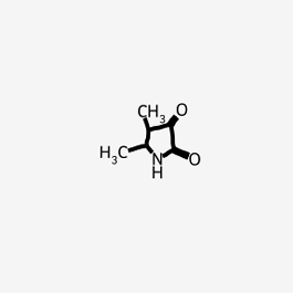 CC1NC(=O)C(=O)C1C